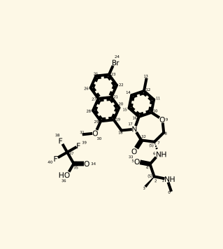 CN[C@@H](C)C(=O)N[C@H]1COc2cc(C)ccc2N(Cc2cc3cc(Br)ccc3cc2OC)C1=O.O=C(O)C(F)(F)F